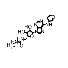 CNC(=O)NC[C@H]1O[C@@H](n2cnc3c(N[C@@H]4CCOC4)ncnc32)[C@H](O)[C@@H]1O